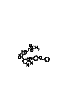 CS(=O)(=O)CCNCc1ccoc1-c1ccc2ncnc(Nc3ccc(OCc4ccccc4)cc3)c2c1